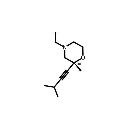 CCN1CCO[C@](C)(C#CC(C)C)C1